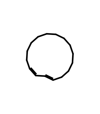 C1=C\CCCCCCCCCCCC/C=C/1